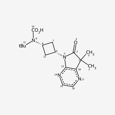 CC1(C)C(=O)N([C@H]2C[C@@H](N(C(=O)O)C(C)(C)C)C2)c2nccnc21